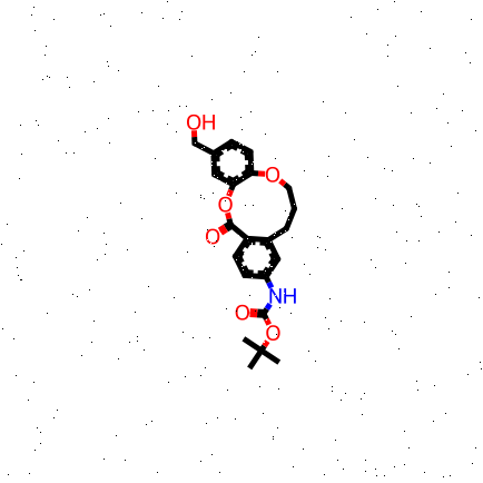 CC(C)(C)OC(=O)Nc1ccc2c(c1)CCCOc1ccc(CO)cc1OC2=O